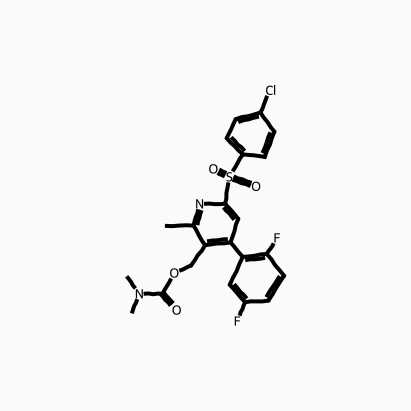 Cc1nc(S(=O)(=O)c2ccc(Cl)cc2)cc(-c2cc(F)ccc2F)c1COC(=O)N(C)C